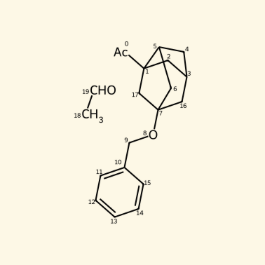 CC(=O)C12CC3CC1CC(OCc1ccccc1)(C3)C2.CC=O